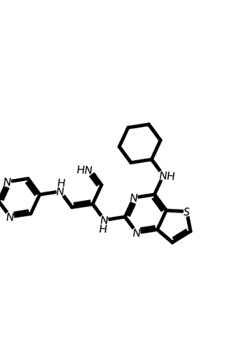 N=C/C(=C\Nc1cncnc1)Nc1nc(NC2CCCCC2)c2sccc2n1